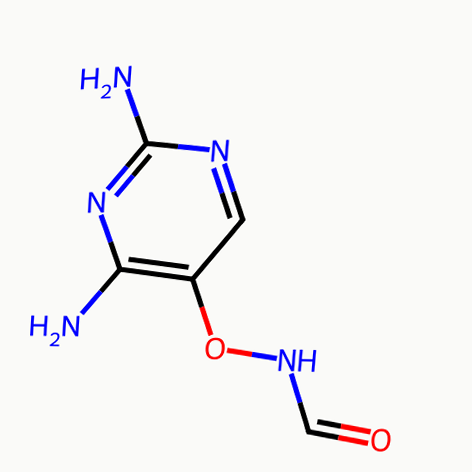 Nc1ncc(ONC=O)c(N)n1